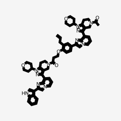 C=CCc1cc(-c2cn3cccc(-c4nn(C5CCOCC5)c5c4CN(C(C)=O)CC5)c3n2)ccc1OCCC(=O)N1CCc2c(c(-c3cccn4cc(-c5c[nH]c6ccccc56)nc34)nn2C2CCOCC2)C1